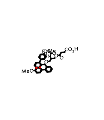 COc1ccc(-c2ccccc2C(OCC(COC(=O)CCC(=O)O)NC(=O)C(F)(F)F)c2ccccc2-c2ccc(OC)cc2)cc1